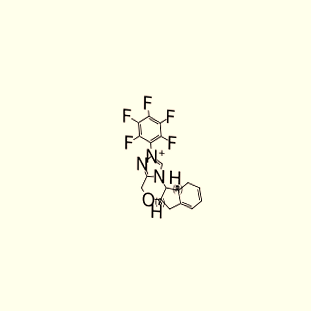 Fc1c(F)c(F)c(-[n+]2cn3c(n2)CO[C@H]2CC4=CC=CC[C@H]4C23)c(F)c1F